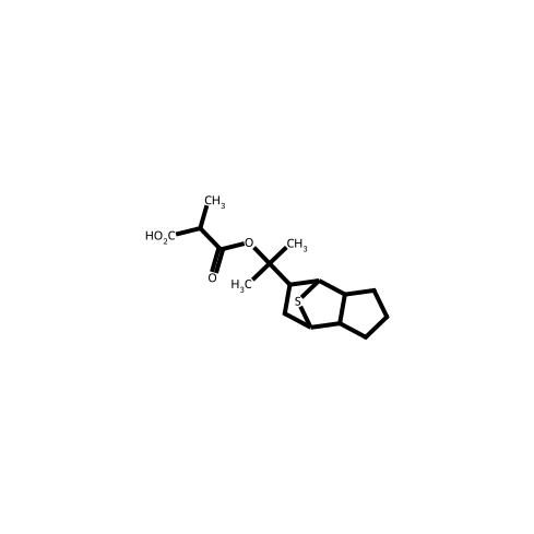 CC(C(=O)O)C(=O)OC(C)(C)C1CC2SC1C1CCCC21